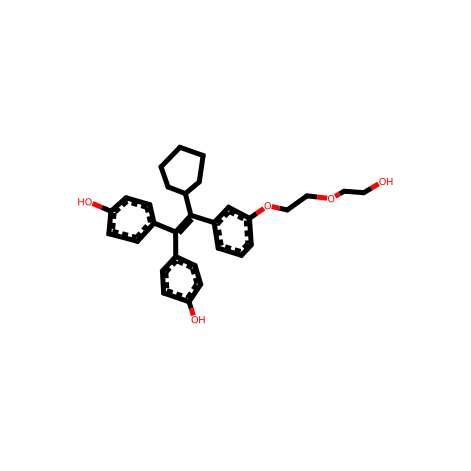 OCCOCCOc1cccc(C(=C(c2ccc(O)cc2)c2ccc(O)cc2)C2CCCCC2)c1